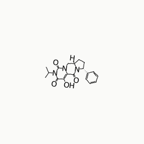 CC(C)n1c(=O)c(O)c2n(c1=O)C[C@@H]1CC[C@H](c3ccccc3)N1C2=O